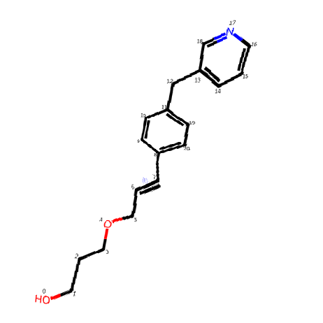 OCCCOC/C=C/c1ccc(Cc2cccnc2)cc1